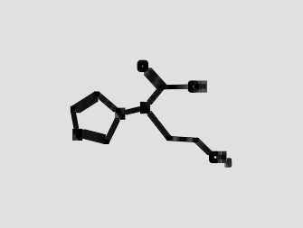 CCCN(C(=O)O)n1ccnc1